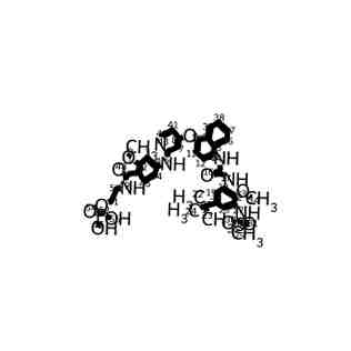 COc1cc(Nc2cc(Oc3ccc(NC(=O)Nc4cc(C(C)(C)C)cc(NS(C)(=O)=O)c4OC)c4ccccc34)ccn2)ccc1C(=O)NCCOP(=O)(O)O